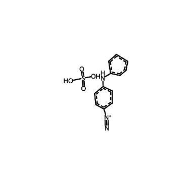 N#[N+]c1ccc(Nc2ccccc2)cc1.O=S(=O)(O)O